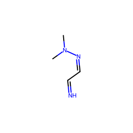 CN(C)/N=C\C=N